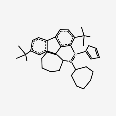 CC(C)(C)c1ccc2c(c1)Cc1c-2ccc(C(C)(C)C)[c]1[Zr]([C]1=CC=CC1)=[Si](C1CCCCCC1)C1CCCCCC1